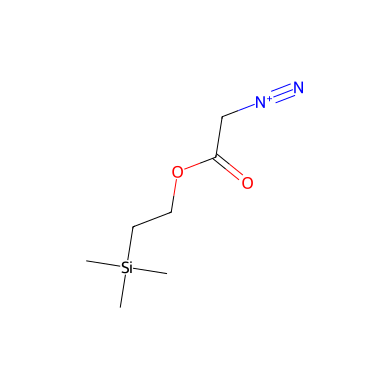 C[Si](C)(C)CCOC(=O)C[N+]#N